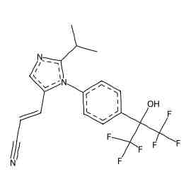 CC(C)c1ncc(C=CC#N)n1-c1ccc(C(O)(C(F)(F)F)C(F)(F)F)cc1